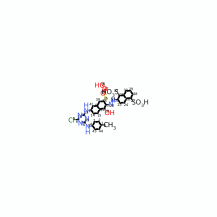 Cc1ccc(Nc2nc(Cl)nc(Nc3ccc4c(O)c(N=Nc5ccc6c(S(=O)(=O)O)cccc6c5S(=O)(=O)O)c(SOOO)cc4c3)n2)cc1